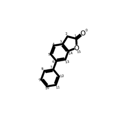 O=C1Cc2ccc(-c3ccccc3)cc2O1